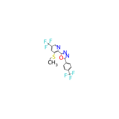 CCSc1cc(C(F)(F)F)cnc1-c1nnc(-c2ccc(C(F)(F)F)cc2)o1